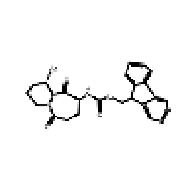 CC(=O)[C@@H]1CCCN2C(=O)CC[C@H](NC(=O)OCC3c4ccccc4-c4ccccc43)C(=O)N12